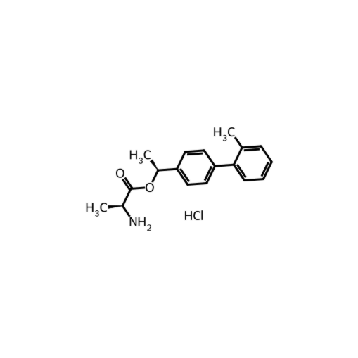 Cc1ccccc1-c1ccc([C@H](C)OC(=O)[C@H](C)N)cc1.Cl